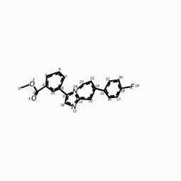 COC(=O)c1cccc(-c2cnc3cc(-c4ccc(F)cc4)ccn23)c1